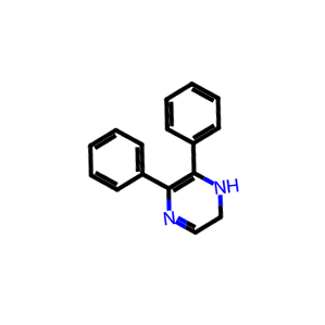 C1=NC(c2ccccc2)=C(c2ccccc2)NC1